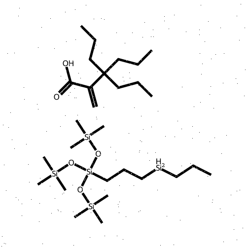 C=C(C(=O)O)C(CCC)(CCC)CCC.CCC[SiH2]CCC[Si](O[Si](C)(C)C)(O[Si](C)(C)C)O[Si](C)(C)C